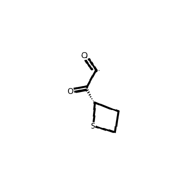 O=[C]C(=O)[C@@H]1CCS1